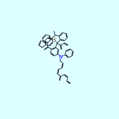 C=C/C=C\C(=C)/C=C\C=C/CN(c1ccccc1)c1ccc2c(c1)C(C(=C)C=C)(c1ccccc1C(C)c1ccc3c(c1)C=CC3)Sc1ccccc1C2=C